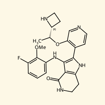 COc1c(F)cccc1Nc1c(-c2ccncc2OC(C)[C@H]2CCN2)[nH]c2c1C(=O)NCC2